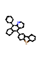 c1ccc(-c2c3ccccc3c(-c3ccc4sc5ccccc5c4c3)c3cccnc23)cc1